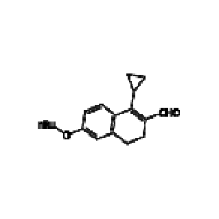 CCCCOc1ccc2c(c1)CCC(C=O)=C2C1CC1